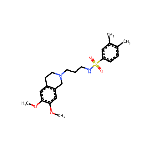 COc1cc2c(cc1OC)CN(CCCNS(=O)(=O)c1ccc(C)c(C)c1)CC2